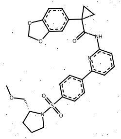 COC[C@H]1CCCN1S(=O)(=O)c1ccc(-c2cccc(NC(=O)C3(c4ccc5c(c4)OCO5)CC3)n2)cc1